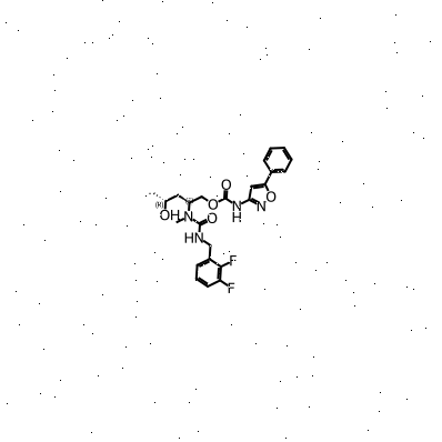 [CH2][C@@H](O)C[C@@H](COC(=O)Nc1cc(-c2ccccc2)on1)N(C)C(=O)NCc1cccc(F)c1F